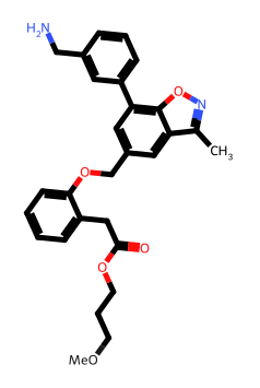 COCCCOC(=O)Cc1ccccc1OCc1cc(-c2cccc(CN)c2)c2onc(C)c2c1